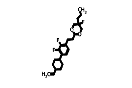 C=CC1CCC(c2ccc(CCC3OCC(F)(CCC)CO3)c(F)c2F)CC1